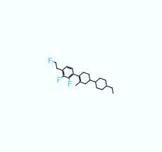 CCC1CCC(C2CCC(c3ccc(CCF)c(F)c3F)=C(C)C2)CC1